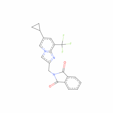 O=C1c2ccccc2C(=O)N1Cc1cn2cc(C3CC3)cc(C(F)(F)F)c2n1